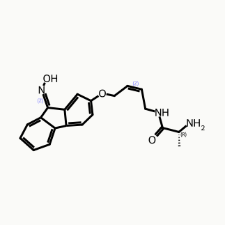 C[C@@H](N)C(=O)NC/C=C\COc1ccc2c(c1)/C(=N\O)c1ccccc1-2